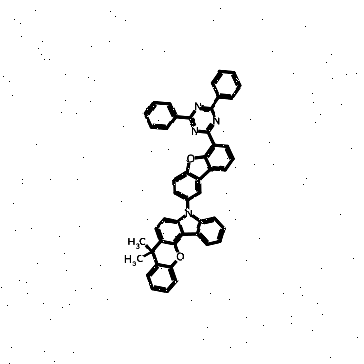 CC1(C)c2ccccc2Oc2c1ccc1c2c2ccccc2n1-c1ccc2oc3c(-c4nc(-c5ccccc5)nc(-c5ccccc5)n4)cccc3c2c1